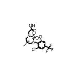 C[C@H]1CN(CC(=O)O)S(=O)(=O)N(c2c(Cl)cc(C(F)(F)F)cc2Cl)C1